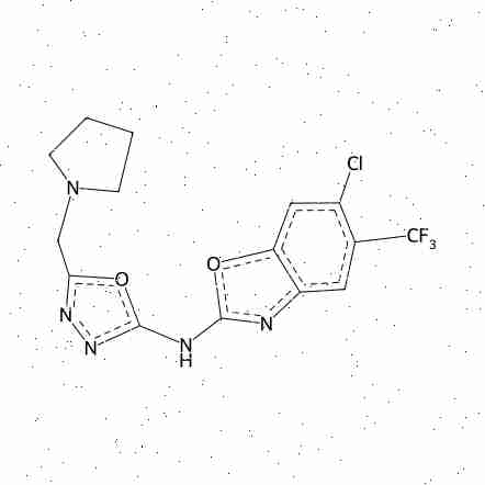 FC(F)(F)c1cc2nc(Nc3nnc(CN4CCCC4)o3)oc2cc1Cl